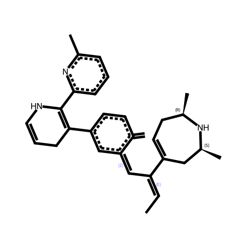 C=c1ccc(C2=C(c3cccc(C)n3)NC=CC2)c/c1=C/C(=C\C)C1=CC[C@@H](C)N[C@@H](C)C1